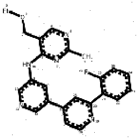 CCOCc1cnc(C)nc1Nc1cncc(-c2ccnc(-c3ccccc3F)c2)c1